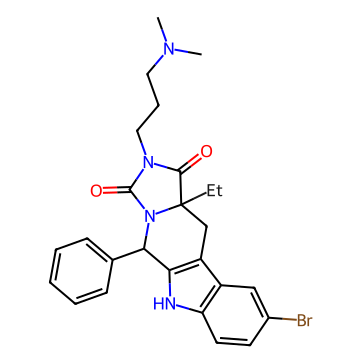 CCC12Cc3c([nH]c4ccc(Br)cc34)C(c3ccccc3)N1C(=O)N(CCCN(C)C)C2=O